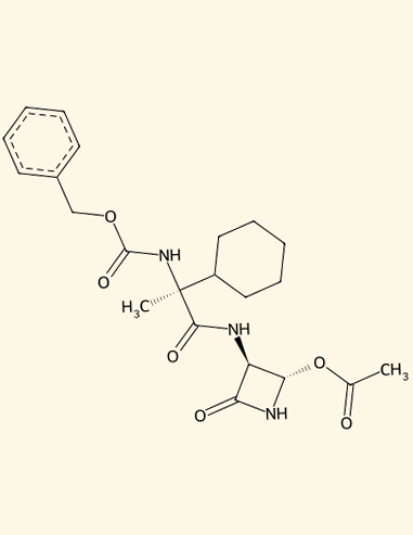 CC(=O)O[C@@H]1NC(=O)[C@H]1NC(=O)[C@@](C)(NC(=O)OCc1ccccc1)C1CCCCC1